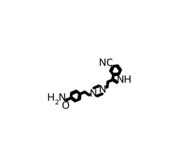 N#Cc1ccc2[nH]cc(CCN3CCN(CCc4ccc(C(N)=O)cc4)CC3)c2c1